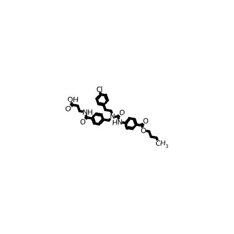 CCCCOC(=O)c1ccc(NC(=O)N(CCc2ccc(Cl)cc2)Cc2ccc(C(=O)NCCC(=O)O)cc2)cc1